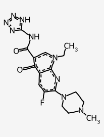 CCn1cc(C(=O)Nc2nnn[nH]2)c(=O)c2cc(F)c(N3CCN(C)CC3)nc21